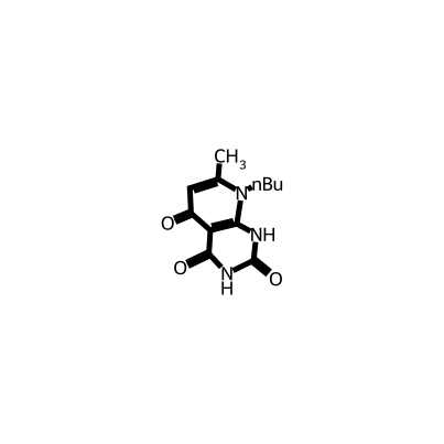 CCCCn1c(C)cc(=O)c2c(=O)[nH]c(=O)[nH]c21